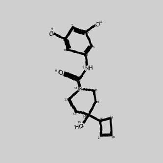 O=C(Nc1cc(Cl)cc(Cl)c1)N1CCC(O)(C2CCC2)CC1